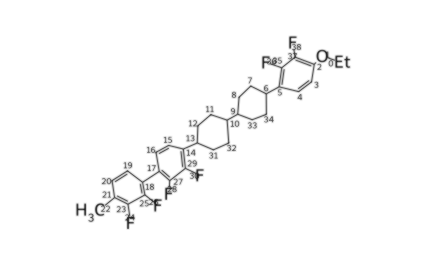 CCOc1ccc(C2CCC(C3CCC(c4ccc(-c5ccc(C)c(F)c5F)c(F)c4F)CC3)CC2)c(F)c1F